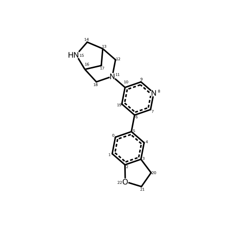 c1cc2c(cc1-c1cncc(N3CC4CNC(C4)C3)c1)CCO2